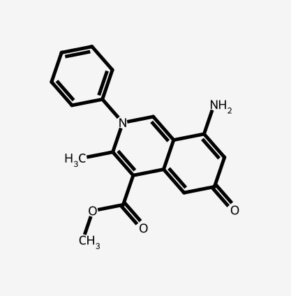 COC(=O)c1c2cc(=O)cc(N)c-2cn(-c2ccccc2)c1C